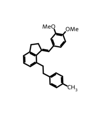 COc1ccc(/C=C2\CCc3cccc(CCc4ccc(C)cc4)c32)cc1OC